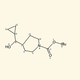 CC(C)(C)OC(=O)N1CCC(C(O)C2CC2)CC1